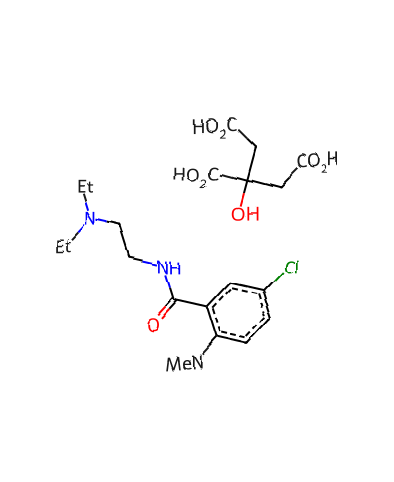 CCN(CC)CCNC(=O)c1cc(Cl)ccc1NC.O=C(O)CC(O)(CC(=O)O)C(=O)O